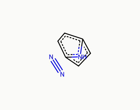 N#N.c1cc2ccc1[nH]2